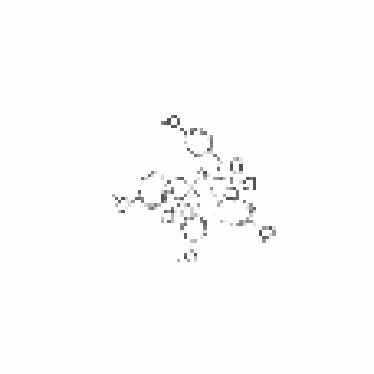 COc1ccc(CC(Cc2ccc(OC)cc2)(OC(Cc2ccc(OC)cc2)(Cc2ccc(OC)cc2)C(Cl)(Cl)Cl)C(Cl)(Cl)Cl)cc1